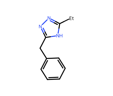 CCc1nnc(Cc2ccccc2)[nH]1